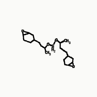 CC(CCC1CCC2OC2C1)O[SiH2]OC(C)CCC1CCC2OC2C1